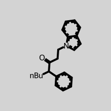 CCCCC(C(=O)CCn1ccc2ccccc21)c1ccccc1